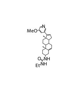 CCNC(=O)NC1CC[C@@]2(C)C(=CCC3C2CC[C@]2(C)C(c4cncc(OC)c4)=CCC32)C1